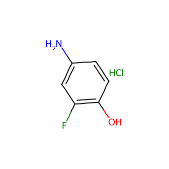 Cl.Nc1ccc(O)c(F)c1